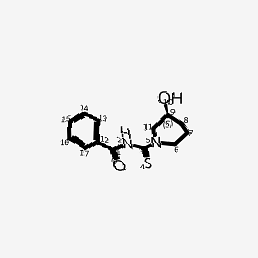 O=C(NC(=S)N1CCC[C@H](O)C1)c1ccccc1